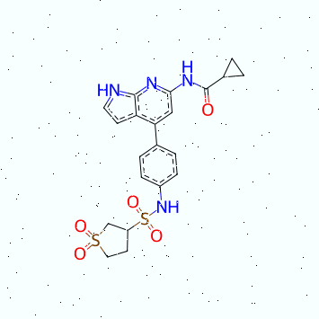 O=C(Nc1cc(-c2ccc(NS(=O)(=O)C3CCS(=O)(=O)C3)cc2)c2cc[nH]c2n1)C1CC1